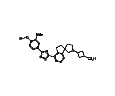 CNc1cc(-c2nc(-c3cccc4c3CCC43CCN(C4CC(C(=O)O)C4)C3)no2)ccc1OC(C)C